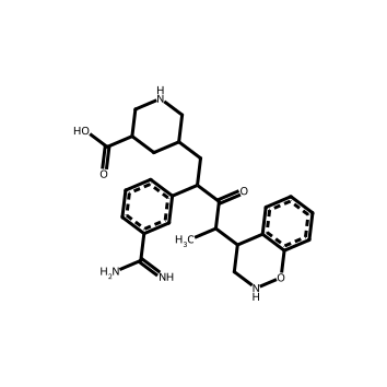 CC(C(=O)C(CC1CNCC(C(=O)O)C1)c1cccc(C(=N)N)c1)C1CNOc2ccccc21